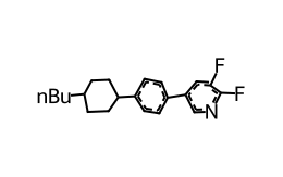 CCCCC1CCC(c2ccc(-c3cnc(F)c(F)c3)cc2)CC1